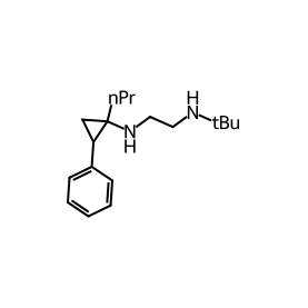 CCCC1(NCCNC(C)(C)C)CC1c1ccccc1